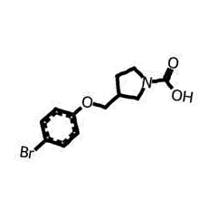 O=C(O)N1CCC(COc2ccc(Br)cc2)C1